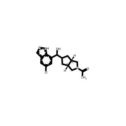 CC(=O)N1C[C@H]2CC(C(O)c3cc(Cl)cc4cn[nH]c34)C[C@H]2C1